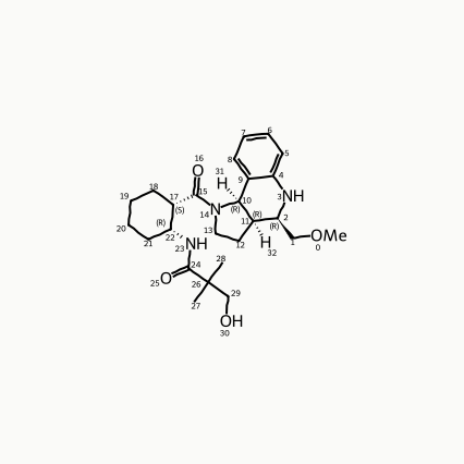 COC[C@@H]1Nc2ccccc2[C@H]2[C@@H]1CCN2C(=O)[C@H]1CCCC[C@H]1NC(=O)C(C)(C)CO